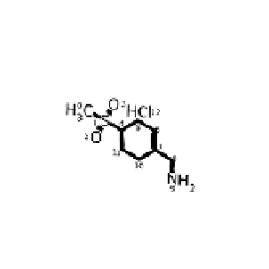 CS(=O)(=O)C1CC=C(CN)CC1.Cl